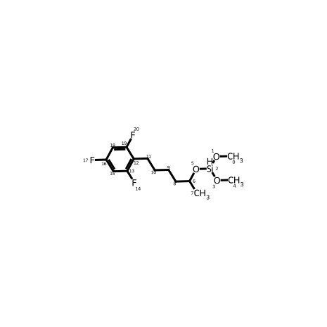 CO[SiH](OC)OC(C)CCCCc1c(F)cc(F)cc1F